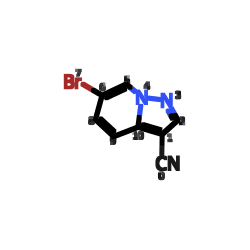 N#Cc1cnn2cc(Br)ccc12